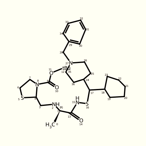 C[C@@H](NCC1SCCN1C(=O)OC(C)(C)C)C(=O)NSC(C1CCCCC1)C1CCN(Cc2ccccc2)CC1